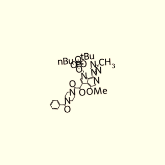 CCCCOP(=O)(OCn1cc(C(=O)C(=O)N2CCN(C(=O)c3ccccc3)CC2)c2c(OC)cnc(-n3cnc(C)n3)c21)OC(C)(C)C